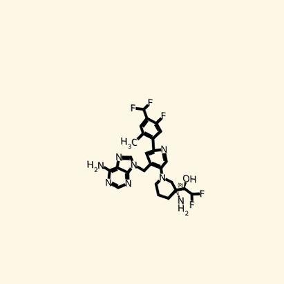 Cc1cc(C(F)F)c(F)cc1-c1cc(Cn2cnc3c(N)ncnc32)c(N2CCC[C@](N)([C@@H](O)C(F)F)C2)cn1